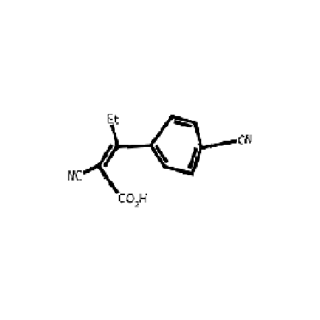 CCC(=C(C#N)C(=O)O)c1ccc(C#N)cc1